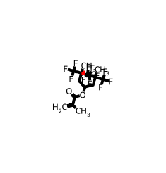 C=C(C)C(=O)OC(CC(C)(C(F)(F)F)C(F)(F)F)CC(C)(C(F)(F)F)C(F)(F)F